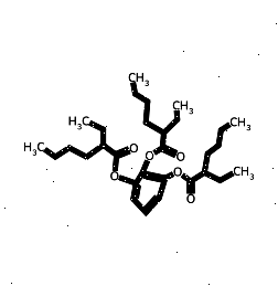 CCCCC(CC)C(=O)Oc1cccc(OC(=O)C(CC)CCCC)c1OC(=O)C(CC)CCCC